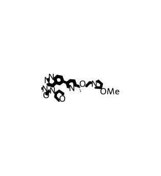 CO[C@H]1CCN(CCO[C@H](C)c2ccc(-c3ccc4nnc5c(c4c3)n(C3CCOCC3)c(=O)n5C)cn2)C1